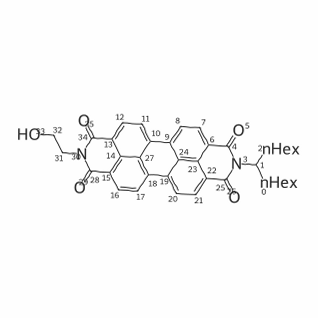 CCCCCCC(CCCCCC)N1C(=O)c2ccc3c4ccc5c6c(ccc(c7ccc(c2c37)C1=O)c64)C(=O)N(CCO)C5=O